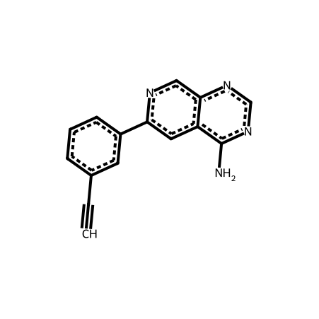 C#Cc1cccc(-c2cc3c(N)ncnc3cn2)c1